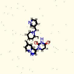 C[C@H]1C[C@H](Cc2ccn3ncc(N4CCC(=O)NC4=O)c3c2)CCN1Cc1cccnc1